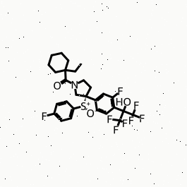 CCC1(C(=O)N2CC[C@](c3ccc(C(O)(C(F)(F)F)C(F)(F)F)c(F)c3)([S+]([O-])c3ccc(F)cc3)C2)CCCCC1